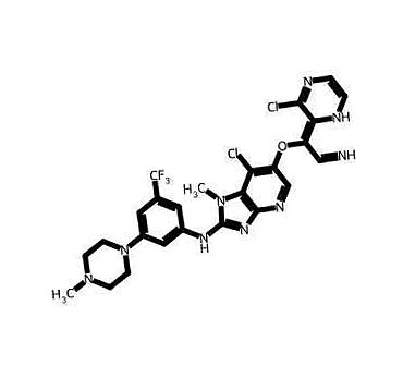 CN1CCN(c2cc(Nc3nc4ncc(O/C(C=N)=C5/NC=CN=C5Cl)c(Cl)c4n3C)cc(C(F)(F)F)c2)CC1